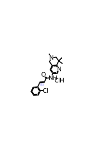 CN1Cc2cc(NC(=O)/C=C/c3ccccc3Cl)cnc2C(C)(C)C1.Cl